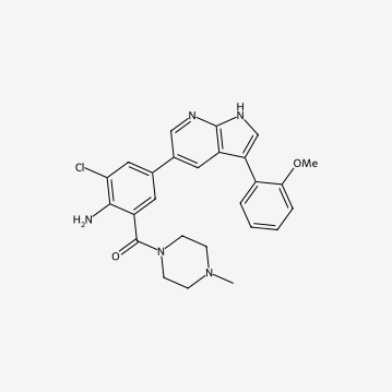 COc1ccccc1-c1c[nH]c2ncc(-c3cc(Cl)c(N)c(C(=O)N4CCN(C)CC4)c3)cc12